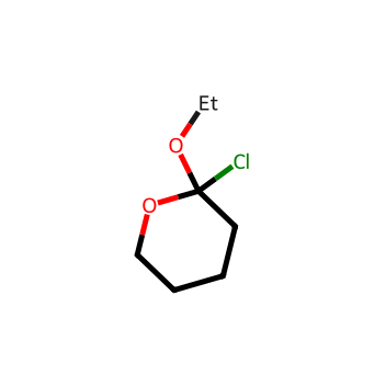 CCOC1(Cl)CCCCO1